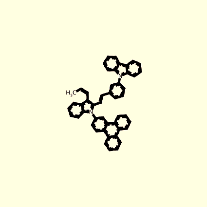 C/C=C\c1c(/C=C/c2cccc(-n3c4ccccc4c4ccccc43)c2)n(-c2ccc3c4ccccc4c4ccccc4c3c2)c2ccccc12